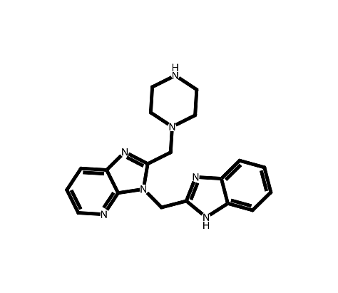 c1ccc2[nH]c(Cn3c(CN4CCNCC4)nc4cccnc43)nc2c1